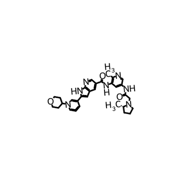 Cc1ncc(NC(=O)CN2CCC[C@@H]2C)cc1NC(=O)c1cnc2[nH]c(C3=CN(C4CCOCC4)C=C=C3)cc2c1